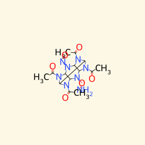 CC(=O)N1C2C3N(ON)C4C(N2N=O)N(C(C)=O)C(C1N3C(C)=O)N4C(C)=O